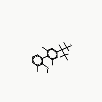 CSc1c(C)cccc1-c1c(C)cc(C(C)(C(C)(C)C)C(C)(C)F)cc1C